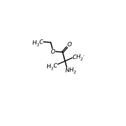 [CH2]C(C)(N)C(=O)OCC